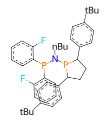 CCCCN(P(c1ccccc1F)c1ccccc1F)P1C(c2ccc(C(C)(C)C)cc2)CCC1c1ccc(C(C)(C)C)cc1